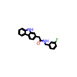 O=C(Cc1ccc2c(c1)[nH]c1ccccc12)NCc1cccc(F)c1